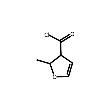 CC1OC=CC1C(=O)Cl